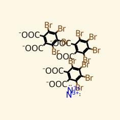 O=C([O-])c1c(Br)c(Br)c(Br)c(Br)c1C(=O)[O-].O=C([O-])c1c(Br)c(Br)c(Br)c(Br)c1C(=O)[O-].O=C([O-])c1c(Br)c(Br)c(Br)c(Br)c1C(=O)[O-].[N+3].[N+3]